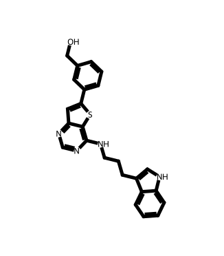 OCc1cccc(-c2cc3ncnc(NCCCc4c[nH]c5ccccc45)c3s2)c1